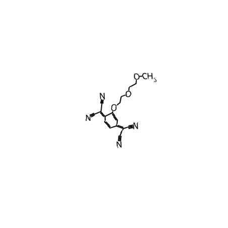 COCCOCCOc1cc(=C(C#N)C#N)ccc1=C(C#N)C#N